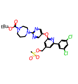 CC(C)(C)OC(=O)N1CCCN(c2ncc(Oc3cc(COS(C)(=O)=O)cc(-c4cc(Cl)cc(Cl)c4)n3)cn2)CC1